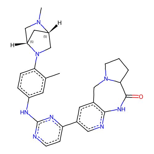 Cc1cc(Nc2nccc(-c3cnc4c(c3)CN3CCCC3C(=O)N4)n2)ccc1N1C[C@@H]2C[C@H]1CN2C